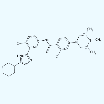 C[C@@H]1CN(c2ccc(C(=O)Nc3ccc(Cl)c(-c4ncc(C5CCCCC5)[nH]4)c3)c(Cl)c2)C[C@H](C)N1C